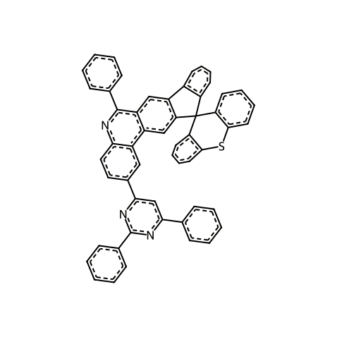 c1ccc(-c2cc(-c3ccc4nc(-c5ccccc5)c5cc6c(cc5c4c3)C3(c4ccccc4Sc4ccccc43)c3ccccc3-6)nc(-c3ccccc3)n2)cc1